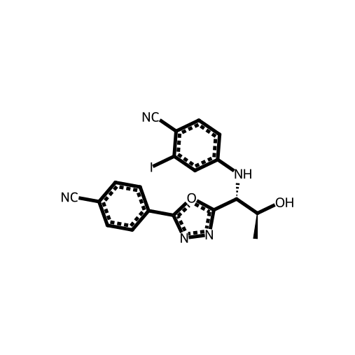 C[C@H](O)[C@@H](Nc1ccc(C#N)c(I)c1)c1nnc(-c2ccc(C#N)cc2)o1